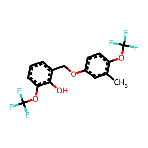 Cc1cc(OCc2cccc(OC(F)(F)F)c2O)ccc1OC(F)(F)F